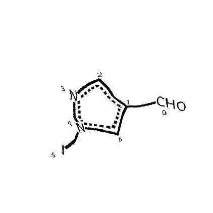 O=Cc1cnn(I)c1